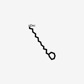 CCCCCCCCCCCCCCCCCCCCCCCC1CCCCCC1